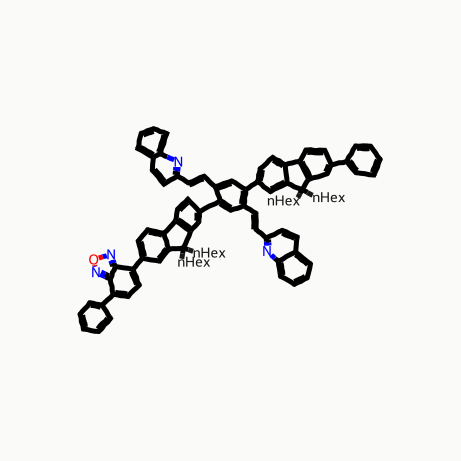 CCCCCCC1(CCCCCC)c2cc(-c3ccccc3)ccc2-c2ccc(-c3cc(/C=C/c4ccc5ccccc5n4)c(-c4ccc5c(c4)C(CCCCCC)(CCCCCC)c4cc(-c6ccc(-c7ccccc7)c7nonc67)ccc4-5)cc3/C=C/c3ccc4ccccc4n3)cc21